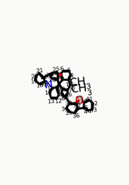 CC1(C)c2ccccc2C2(c3ccccc3-n3c4ccccc4c4cccc2c43)c2ccc(-c3cccc4c3oc3ccccc34)cc21